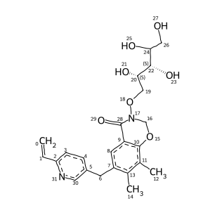 C=Cc1ccc(Cc2cc3c(c(C)c2C)OCN(OC[C@H](O)[C@@H](O)C(O)CO)C3=O)cn1